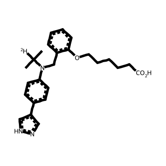 [2H]C(C)(C)N(Cc1ccccc1OCCCCCC(=O)O)c1ccc(-c2cn[nH]c2)cc1